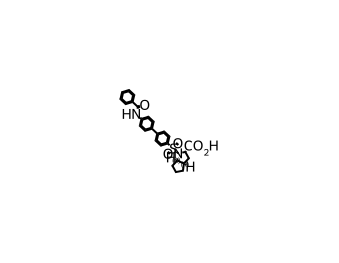 O=C(Nc1ccc(-c2ccc(S(=O)(=O)N3C(C(=O)O)C[C@H]4CCC[C@H]43)cc2)cc1)c1ccccc1